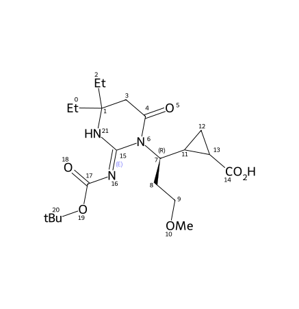 CCC1(CC)CC(=O)N([C@H](CCOC)C2CC2C(=O)O)/C(=N/C(=O)OC(C)(C)C)N1